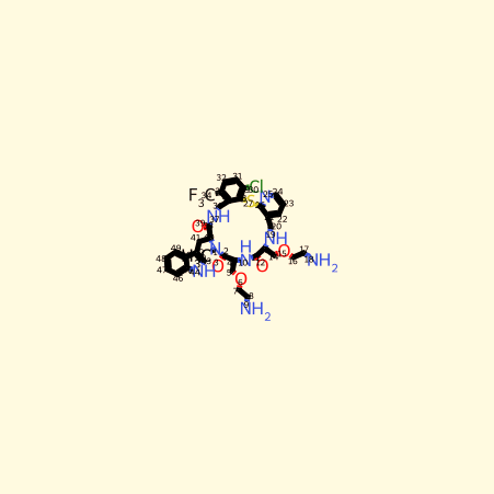 CN1C(=O)C(COCCN)NC(=O)C(COCCN)NCc2cccnc2Sc2c(Cl)ccc(C(F)(F)F)c2CNC(=O)C1Cc1c[nH]c2ccccc12